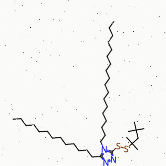 CCCCCCCCCCCCCCCCCCn1c(CCCCCCCCCCCCC)nnc1SSC(C)(C)CC(C)(C)C